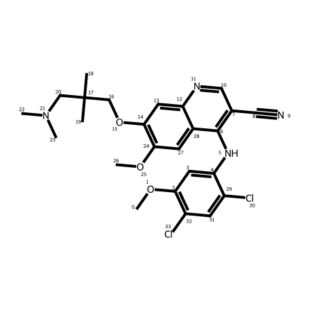 COc1cc(Nc2c(C#N)cnc3cc(OCC(C)(C)CN(C)C)c(OC)cc23)c(Cl)cc1Cl